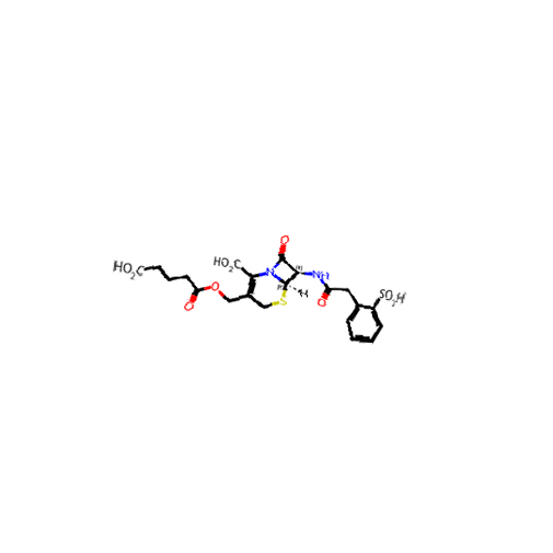 O=C(O)CCCC(=O)OCC1=C(C(=O)O)N2C(=O)[C@@H](NC(=O)Cc3ccccc3S(=O)(=O)O)[C@H]2SC1